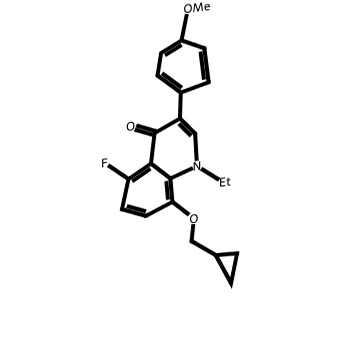 CCn1cc(-c2ccc(OC)cc2)c(=O)c2c(F)ccc(OCC3CC3)c21